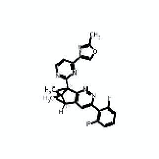 Cc1nc(-c2ccnc([C@@]34CC[C@@H](c5cc(-c6c(F)cccc6F)nnc53)C4(C)C)n2)co1